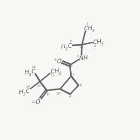 CC(C)(C)NC(=O)C1CCC1C(=O)C(C)(C)C